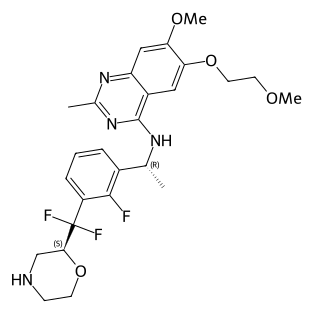 COCCOc1cc2c(N[C@H](C)c3cccc(C(F)(F)[C@@H]4CNCCO4)c3F)nc(C)nc2cc1OC